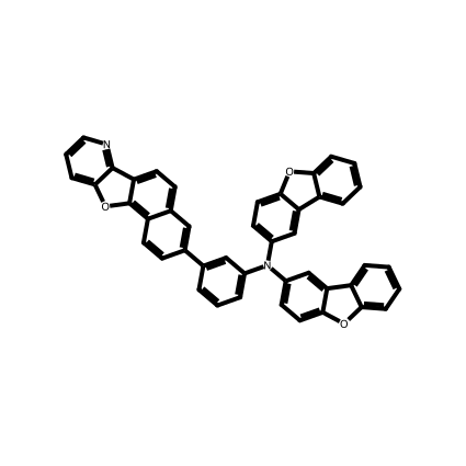 c1cc(-c2ccc3c(ccc4c5ncccc5oc34)c2)cc(N(c2ccc3oc4ccccc4c3c2)c2ccc3oc4ccccc4c3c2)c1